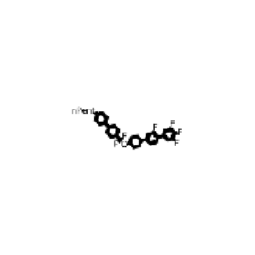 CCCCCc1ccc(-c2ccc(C(F)(F)OC3CCC(c4ccc(-c5cc(F)c(F)c(F)c5)c(F)c4)CC3)cc2)cc1